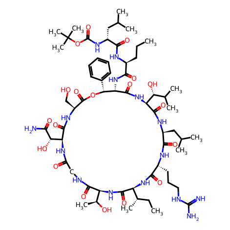 CCC[C@H](NC(=O)[C@@H](CC(C)C)NC(=O)OC(C)(C)C)C(=O)N[C@@H]1C(=O)N[C@@H]([C@H](O)C(C)C)C(=O)N[C@@H](CC(C)C)C(=O)N[C@H](CCCNC(=N)N)C(=O)N[C@@H]([C@@H](C)CC)C(=O)N[C@@H]([C@H](C)O)C(=O)NCC(=O)N[C@@H]([C@H](O)C(N)=O)C(=O)N[C@@H](CO)C(=O)O[C@@H]1c1ccccc1